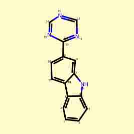 c1ccc2c(c1)[nH]c1cc(-c3ncncn3)ccc12